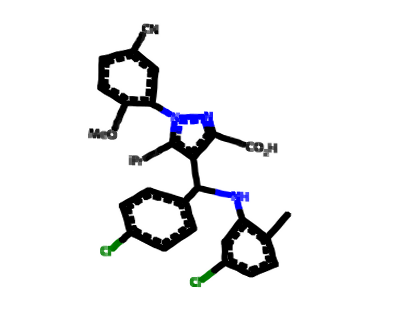 COc1ccc(C#N)cc1-n1nc(C(=O)O)c(C(Nc2cc(Cl)ccc2C)c2ccc(Cl)cc2)c1C(C)C